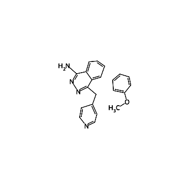 COc1ccccc1.Nc1nnc(Cc2ccncc2)c2ccccc12